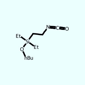 CCCCO[Si](CC)(CC)CCN=C=O